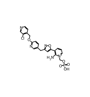 Nc1c(-c2cc(Cc3ccc(OCc4ccncc4Cl)nc3)no2)ccc[n+]1COP(=O)([O-])O